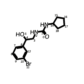 O=C(NCC(O)c1cccc(Br)c1)NC1CCCC1